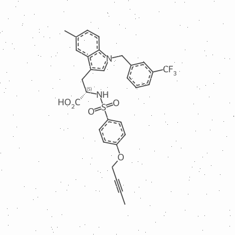 CC#CCOc1ccc(S(=O)(=O)N[C@@H](Cc2cn(Cc3cccc(C(F)(F)F)c3)c3ccc(C)cc23)C(=O)O)cc1